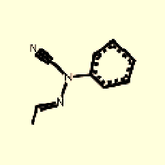 CC=NN(C#N)c1ccccc1